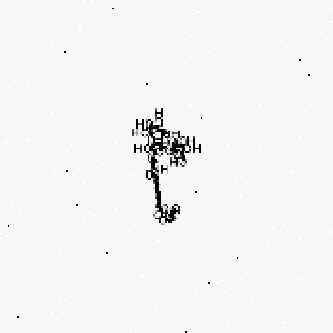 O=C(CCCCCCCCC(=O)ON1C(=O)CCC1=O)NCCOC1OC(CO[C@H]2OC(CO)[C@@H](O)C(O)C2O)CC(O[C@H]2OC(CO)[C@@H](O)C(O)C2O)C1O